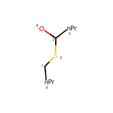 CCCCSC([O])CCC